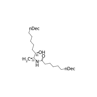 [CH2][C@H](NC(=O)CCCCCCCCCCCCCCC)[C@H](O)CCCCCCCCCCCCCCC